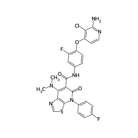 CN(C)c1c(C(=O)Nc2ccc(Oc3ccnc(N)c3Cl)c(F)c2)c(=O)n(-c2ccc(F)cc2)c2scnc12